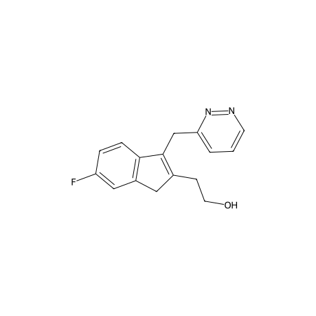 OCCC1=C(Cc2cccnn2)c2ccc(F)cc2C1